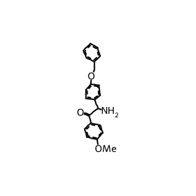 COc1ccc(C(=O)C(N)c2ccc(OCc3ccccc3)cc2)cc1